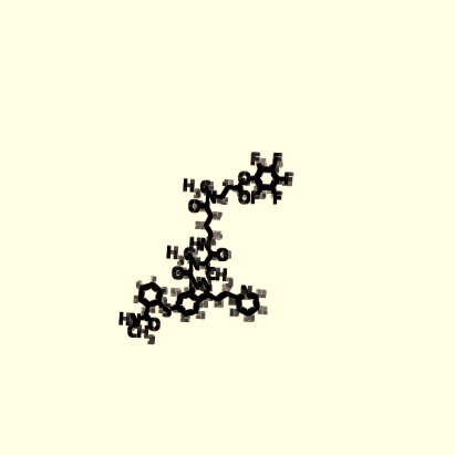 CNC(=O)c1ccccc1Sc1ccc2c(/C=C/c3ccccn3)nn(C(=O)N(C)[C@@H](C)C(=O)NCCCC(=O)N(C)CCC(=O)Oc3c(F)c(F)c(F)c(F)c3F)c2c1